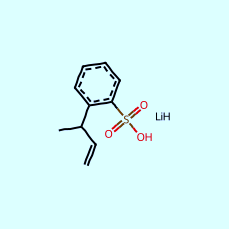 C=CC(C)c1ccccc1S(=O)(=O)O.[LiH]